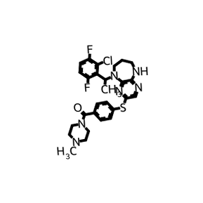 CC(c1c(F)ccc(F)c1Cl)N1CCCNc2ncc(Sc3ccc(C(=O)N4CCN(C)CC4)cc3)nc21